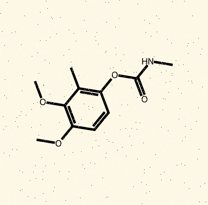 CNC(=O)Oc1ccc(OC)c(OC)c1C